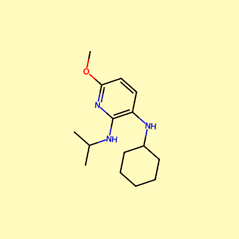 COc1ccc(NC2CCCCC2)c(NC(C)C)n1